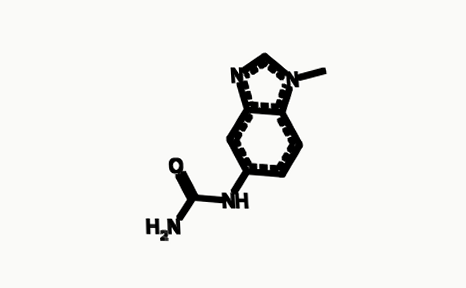 Cn1cnc2cc(NC(N)=O)ccc21